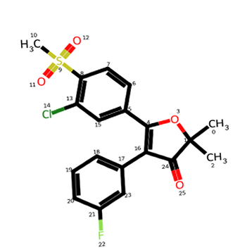 CC1(C)OC(c2ccc(S(C)(=O)=O)c(Cl)c2)=C(c2cccc(F)c2)C1=O